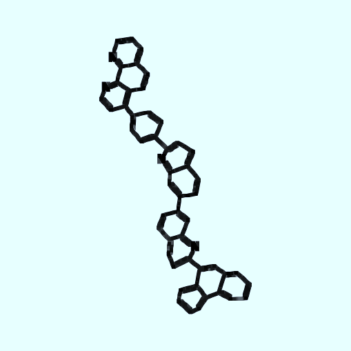 c1ccc2c(c1)cc(-c1ccc3ccc(-c4ccc5ccc(-c6ccc(-c7ccnc8c7ccc7cccnc78)cc6)nc5c4)cc3n1)c1ccccc12